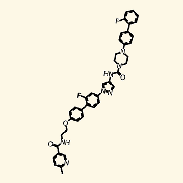 Cc1ccc(C(=O)NCCOc2ccc(-c3ccc(-n4cc(NC(=O)N5CCN(c6ccc(-c7ccccc7F)cc6)CC5)cn4)cc3F)cc2)cn1